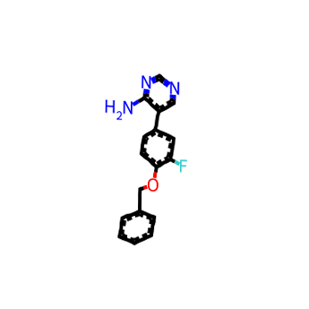 Nc1ncncc1-c1ccc(OCc2ccccc2)c(F)c1